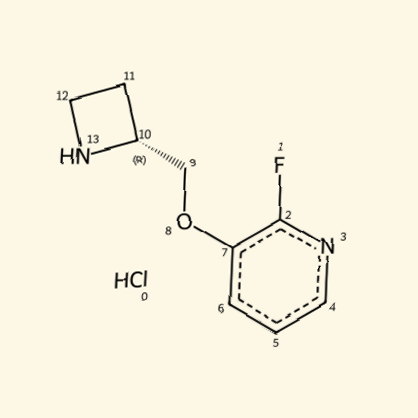 Cl.Fc1ncccc1OC[C@H]1CCN1